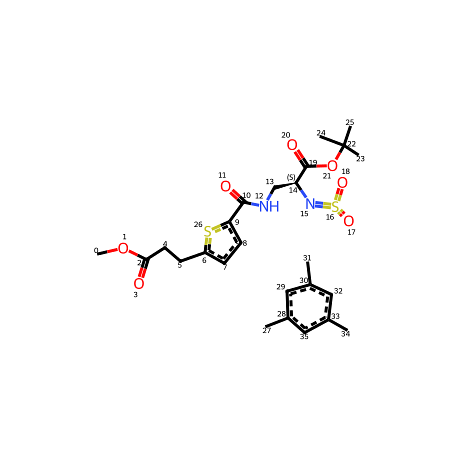 COC(=O)CCc1ccc(C(=O)NC[C@H](N=S(=O)=O)C(=O)OC(C)(C)C)s1.Cc1cc(C)cc(C)c1